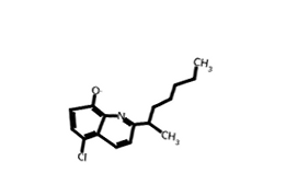 CCCCCC(C)c1ccc2c(Cl)ccc([O])c2n1